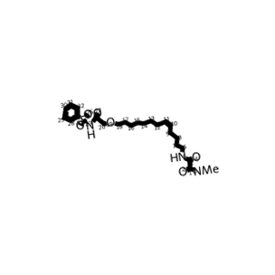 CNC(=O)C(=O)NCCCC/C=C\CCCCCCCOCC(=O)NS(=O)(=O)c1ccccc1